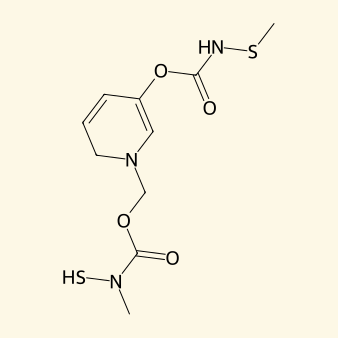 CSNC(=O)OC1=CN(COC(=O)N(C)S)CC=C1